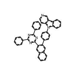 c1ccc(-c2nc(-c3ccccc3)nc(-c3cc4ccccc4cc3-c3ccc(-n4c5ccccc5c5cnccc54)cc3)n2)cc1